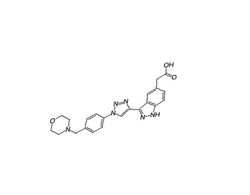 O=C(O)Cc1ccc2[nH]nc(-c3cn(-c4ccc(CN5CCOCC5)cc4)nn3)c2c1